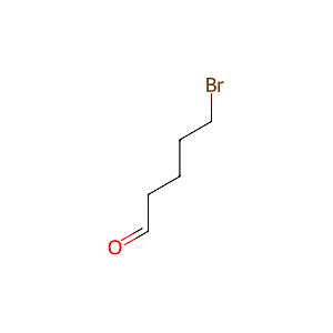 O=CCCCCBr